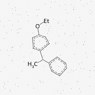 CCOc1ccc(C(C)c2ccccc2)cc1